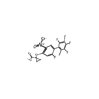 COC(=O)C1(Oc2cc(F)c(-c3c(F)c(F)c(F)c(F)c3F)cc2[N+](=O)[O-])CC1